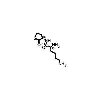 NCCCC[C@H](N)[11C](=O)N[C@H]1CCSC1=O